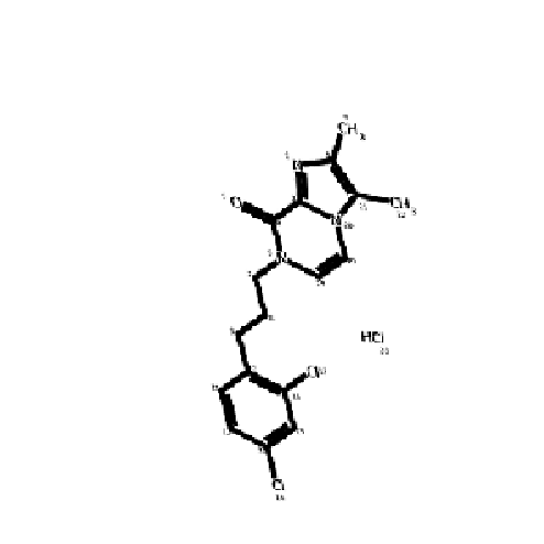 Cc1nc2c(=O)n(CCCc3ccc(Cl)cc3Cl)ccn2c1C.Cl